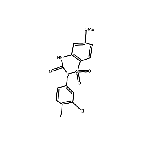 COc1ccc2c(c1)NC(=O)N(c1ccc(Cl)c(Cl)c1)S2(=O)=O